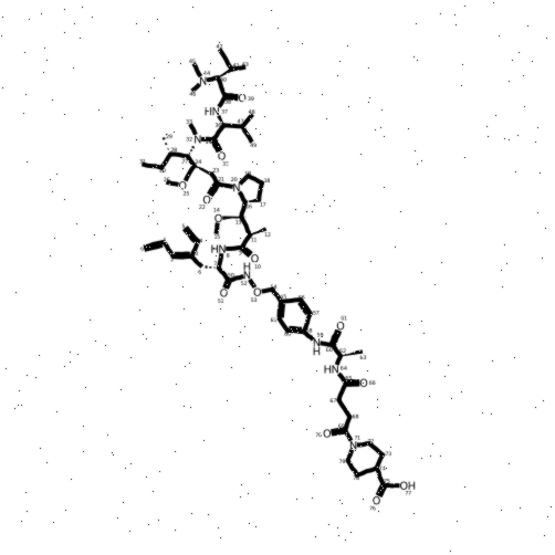 C=C/C=C(\C=C)C[C@H](NC(=O)[C@H](C)[C@@H](OC)[C@@H]1CCCN1C(=O)C[C@@H](OC)[C@H]([C@@H](C)CC)N(C)C(=O)[C@@H](NC(=O)[C@H](C(C)C)N(C)C)C(C)C)C(=O)NOCc1ccc(NC(=O)[C@@H](C)NC(=O)CCC(=O)N2CCC(C(=O)O)CC2)cc1